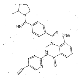 C#Cc1ccc(NC(=O)c2cccc(OC)c2N(C)C(=O)c2ccc(C(=N)N3CCCC3C)cc2)nc1